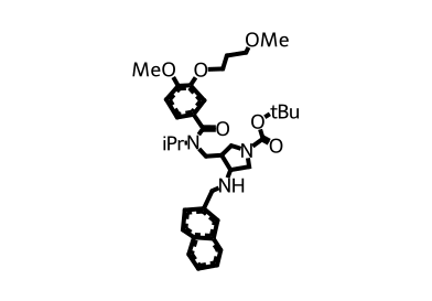 COCCCOc1cc(C(=O)N(CC2CN(C(=O)OC(C)(C)C)CC2NCc2ccc3ccccc3c2)C(C)C)ccc1OC